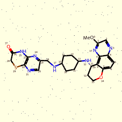 COc1cnc2ccc3c(c2n1)[C@@H](NC1CCC(NCc2cnc4c(n2)NC(=O)CS4)CC1)CCO3